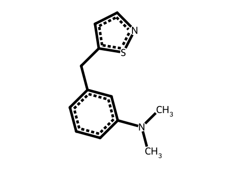 CN(C)c1cccc(Cc2ccns2)c1